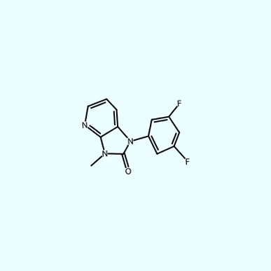 Cn1c(=O)n(-c2cc(F)cc(F)c2)c2cccnc21